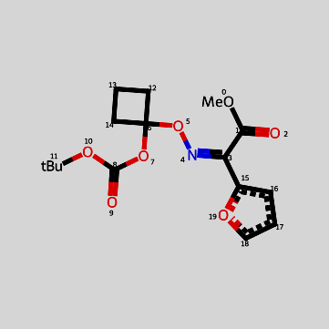 COC(=O)C(=NOC1(OC(=O)OC(C)(C)C)CCC1)c1ccco1